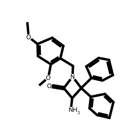 COc1ccc(CN2C(=O)C(N)C2(c2ccccc2)c2ccccc2)c(OC)c1